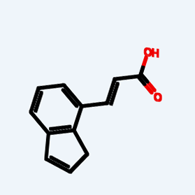 O=C(O)/C=C/c1cccc2c1CC=C2